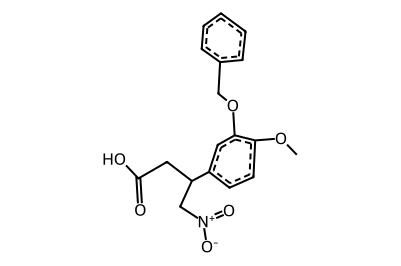 COc1ccc(C(CC(=O)O)C[N+](=O)[O-])cc1OCc1ccccc1